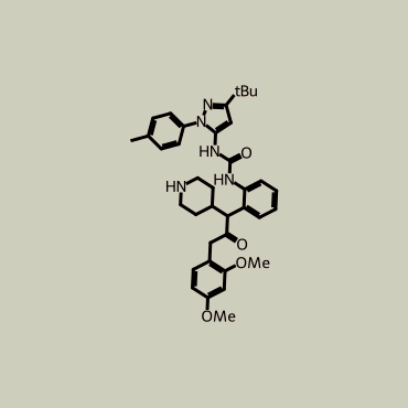 COc1ccc(CC(=O)C(c2ccccc2NC(=O)Nc2cc(C(C)(C)C)nn2-c2ccc(C)cc2)C2CCNCC2)c(OC)c1